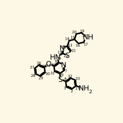 Nc1ccc(Sc2cnc(Nc3nc(CC4CCNCC4)cs3)c(Oc3ccccc3)c2)cc1